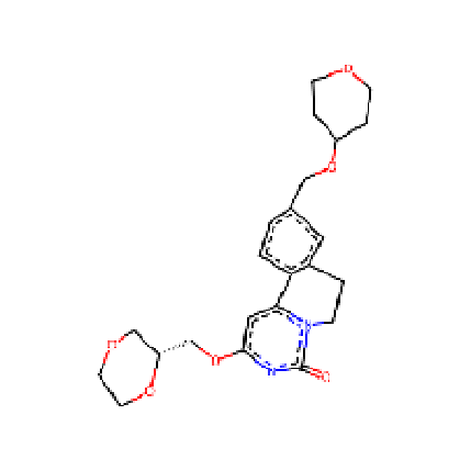 O=c1nc(OC[C@H]2COCCO2)cc2n1CCc1cc(COC3CCOCC3)ccc1-2